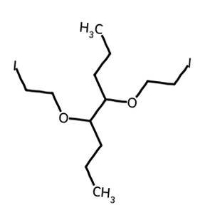 CCCC(OCCI)C(CCC)OCCI